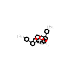 CC(C)(C)c1ccc(-c2cccc3c2C=C[CH]3[Hf]([CH3])([CH3])(=[SiH2])([c]2ccccc2)([c]2ccccc2)[CH]2C=Cc3c(-c4ccc(C(C)(C)C)cc4)cccc32)cc1